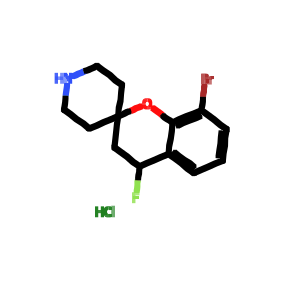 Cl.FC1CC2(CCNCC2)Oc2c(Br)cccc21